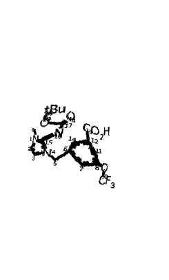 Cn1ccn(Cc2cc(OC(F)(F)F)cc(C(=O)O)c2)c1=NC(=O)OC(C)(C)C